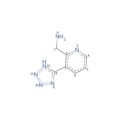 NCc1ncccc1-c1nnn[nH]1